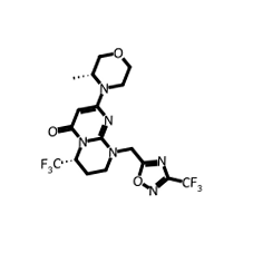 C[C@@H]1COCCN1c1cc(=O)n2c(n1)N(Cc1nc(C(F)(F)F)no1)CC[C@@H]2C(F)(F)F